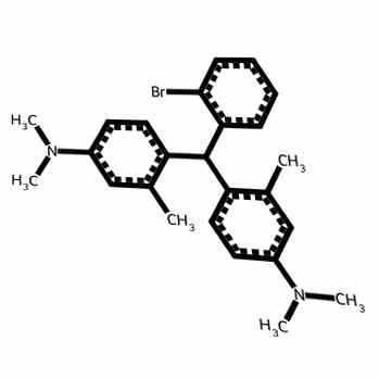 Cc1cc(N(C)C)ccc1C(c1ccc(N(C)C)cc1C)c1ccccc1Br